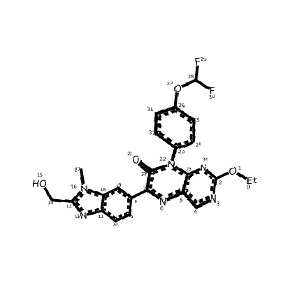 CCOc1ncc2nc(-c3ccc4nc(CO)n(C)c4c3)c(=O)n(-c3ccc(OC(F)F)cc3)c2n1